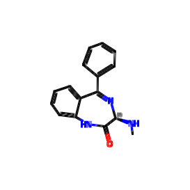 CN[C@@H]1N=C(c2ccccc2)c2ccccc2NC1=O